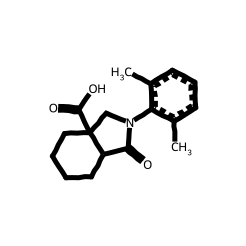 Cc1cccc(C)c1N1CC2(C(=O)O)CCCCC2C1=O